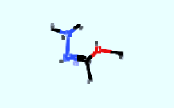 CO/C(C)=N\N(C)C